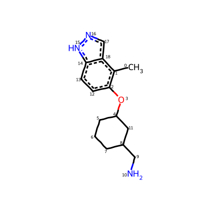 Cc1c(OC2CCCC(CN)C2)ccc2[nH]ncc12